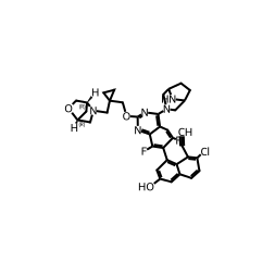 C#Cc1c(Cl)ccc2cc(O)cc(-c3c(F)cc4c(N5CC6CCC(C5)N6)nc(OCC5(CN6C[C@H]7C[C@@H]6CO7)CC5)nc4c3F)c12